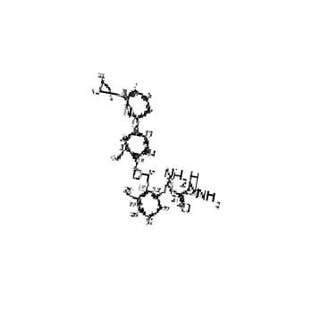 Cc1cc(-c2cccc(C3CC3)n2)ccc1OCc1c(C)cccc1N(N)C(=O)NN